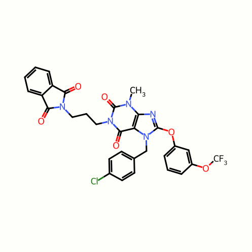 Cn1c(=O)n(CCCN2C(=O)c3ccccc3C2=O)c(=O)c2c1nc(Oc1cccc(OC(F)(F)F)c1)n2Cc1ccc(Cl)cc1